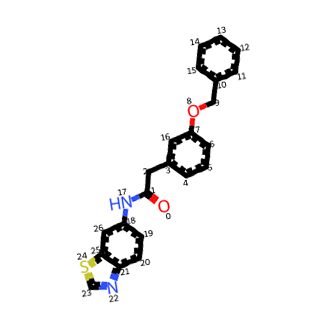 O=C(Cc1cccc(OCc2ccccc2)c1)Nc1ccc2ncsc2c1